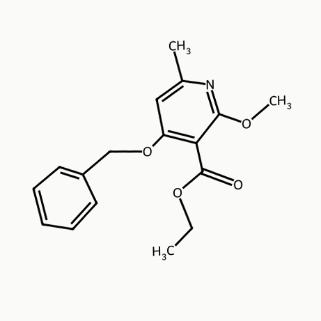 CCOC(=O)c1c(OCc2ccccc2)cc(C)nc1OC